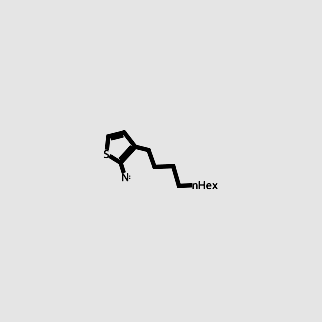 CCCCCCCCCCc1ccsc1[N]